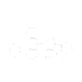 Cc1ccc(N(c2ccc3c(c2)C(C)(C)c2ccccc2-3)c2cccc3c2sc2ccccc23)cc1